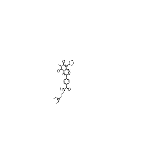 CCN(CC)CCCNC(=O)c1ccc(-c2nnc3c(n2)c(=O)n(C)c(=O)n3C2CCCC2)cc1